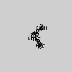 CCN1CC[C@H]2CC[C@@H](C(=O)N3C[C@@H](C#N)[C@H](c4cc[nH]c(=O)c4)C3)N2C(=O)C(NC(=O)c2ccc3ccc(C(F)(F)P(=O)(O)O)cc3c2)C1